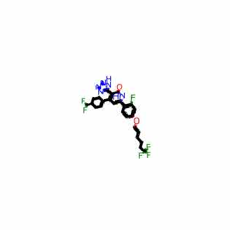 O=c1[nH]c(-c2ccc(OCCCCCC(F)(F)F)cc2F)cc(-c2ccc(C(F)F)cc2)c1-c1nnn[nH]1